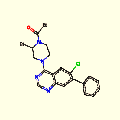 CCC(=O)N1CCN(c2ncnc3cc(-c4ccccc4)c(Cl)cc23)CC1CC